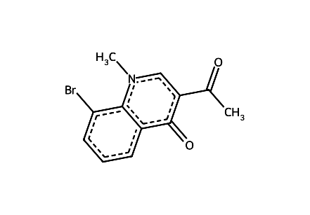 CC(=O)c1cn(C)c2c(Br)cccc2c1=O